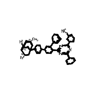 CC[C@@H]1C[C@@H]2C[C@H](C)CC(c3ccc(-c4ccc(-c5nc(-c6ccccc6)nc(-c6cccc(C#N)c6)n5)c(-c5ccccc5)c4)cc3)(C1)C2